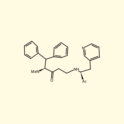 CN[C@H](C(=O)CCN[C@@H](Cc1cccnc1)C(C)=O)C(c1ccccc1)c1ccccc1